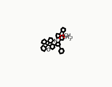 CC1(C)c2ccccc2-c2ccc(N(c3cccc(C4(c5ccccc5)c5ccccc5Oc5ccccc54)c3)c3ccc(-c4ccccc4)cc3-c3ccccc3)cc21